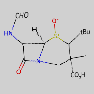 CC(C)(C)C1[S+]([O-])[C@@H]2C(NC=O)C(=O)N2CC1(C)C(=O)O